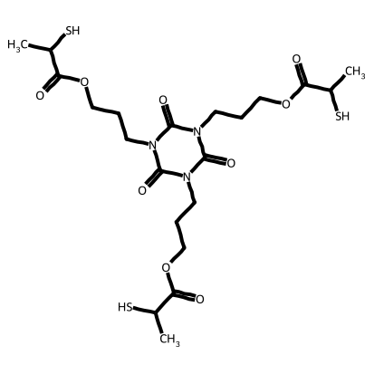 CC(S)C(=O)OCCCn1c(=O)n(CCCOC(=O)C(C)S)c(=O)n(CCCOC(=O)C(C)S)c1=O